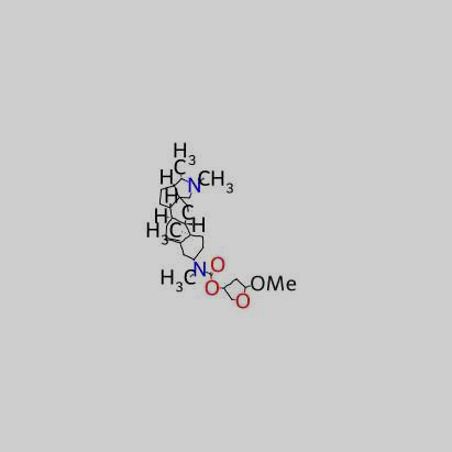 COC1CC(OC(=O)N(C)[C@H]2CC[C@@]3(C)C(=CC[C@H]4[C@@H]5CC[C@@H]6[C@H](C)N(C)CC65CC[C@@H]43)C2)CO1